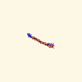 CC(C)(C)OC(=O)N[C@H]1C[C@H](COCCOCCOCCOCCOCCN=[N+]=[N-])C1